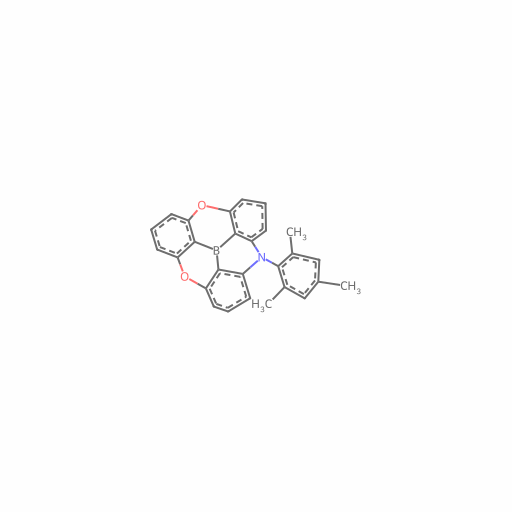 Cc1cc(C)c(N2c3cccc4c3B3c5c(cccc5Oc5cccc2c53)O4)c(C)c1